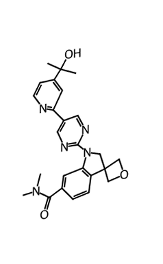 CN(C)C(=O)c1ccc2c(c1)N(c1ncc(-c3cc(C(C)(C)O)ccn3)cn1)CC21COC1